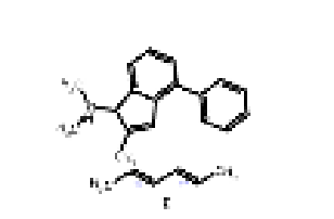 C/C=C/C=C/C.CC1=Cc2c(-c3ccccc3)cccc2C1[SiH](C)C.[Ti]